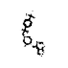 F[C@H]1CN(CC(F)(F)c2ccc(C(F)(F)F)cc2)CC[C@@H]1Nc1ncnc2[nH]ncc12